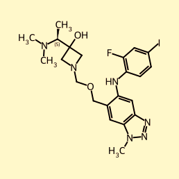 C[C@H](N(C)C)C1(O)CN(COCc2cc3c(cc2Nc2ccc(I)cc2F)nnn3C)C1